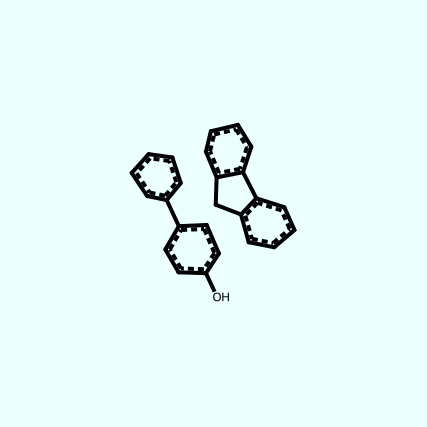 Oc1ccc(-c2ccccc2)cc1.c1ccc2c(c1)Cc1ccccc1-2